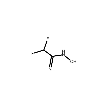 N=C(NO)C(F)F